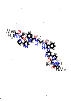 CN[C@@H](C)C(=O)N[C@H](C(=O)N1CCC[C@H]1c1cncc(-n2cc(C(=O)NCCCNC(=O)c3cn(-c4cncc([C@@H]5CCCN5C(=O)[C@@H](NC(=O)[C@H](C)NC)C(C)C)c4)c4ccccc34)c3ccccc32)c1)C(C)C